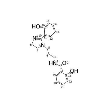 O=C(NCCCN1CCN=C1c1ccccc1O)c1ccccc1O